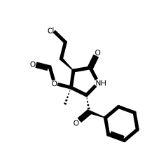 C[C@@]1(OC=O)[C@@H](C(=O)[C@@H]2C=CCCC2)NC(=O)[C@@H]1CCCl